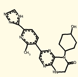 Cc1nc(-c2nnc[nH]2)ccc1-c1cnc2c(n1)N(C1CCC(O)CC1)C(=O)CN2